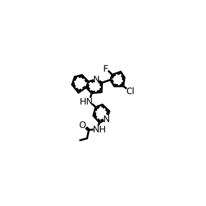 CCC(=O)Nc1cc(Nc2cc(-c3cc(Cl)ccc3F)nc3ccccc23)ccn1